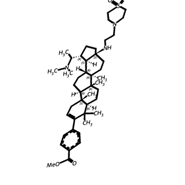 COC(=O)c1ccc(C2=CC[C@]3(C)[C@H]4CC[C@@H]5[C@H]6[C@H](C(C)N(C)C)CC[C@]6(NCCN6CCS(=O)(=O)CC6)CC[C@@]5(C)[C@]4(C)CC[C@H]3C2(C)C)cc1